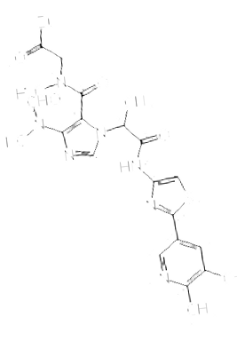 CCC(=O)CN(C)C(=O)c1c(N(C)C=O)ncn1C(C)C(=O)Nc1csc(-c2cnc(C)c(C(F)(F)F)c2)n1